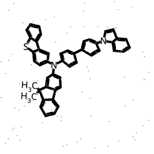 CC1(C)c2ccccc2-c2ccc(N(c3ccc(-c4ccc(-n5ccc6ccccc65)cc4)cc3)c3ccc4sc5ccccc5c4c3)cc21